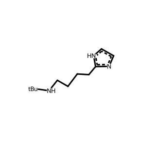 CC(C)(C)NCCCCc1ncc[nH]1